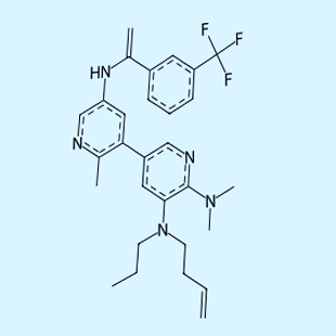 C=CCCN(CCC)c1cc(-c2cc(NC(=C)c3cccc(C(F)(F)F)c3)cnc2C)cnc1N(C)C